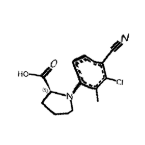 Cc1c(N2CCC[C@H]2C(=O)O)ccc(C#N)c1Cl